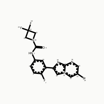 O=C(Nc1ccc(F)c(-c2cn3cc(Br)cnc3n2)c1)N1CC(F)(F)C1